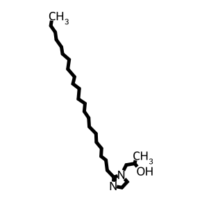 CCCCCCCCCCCCCCCCCCCCCCC1=NCCN1CC(C)O